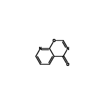 O=c1ncoc2ncccc12